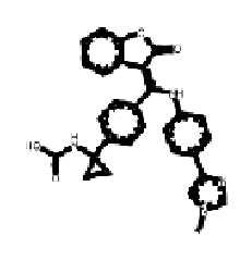 Cn1cnc(-c2ccc(N/C(=C3\C(=O)Oc4ccccc43)c3ccc(C4(NC(=O)O)CC4)cc3)cc2)c1